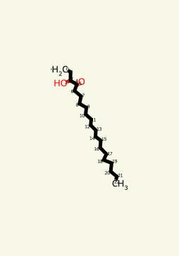 [CH2]CC(O)C(=O)CCCCCCCCCCCCCCCCC